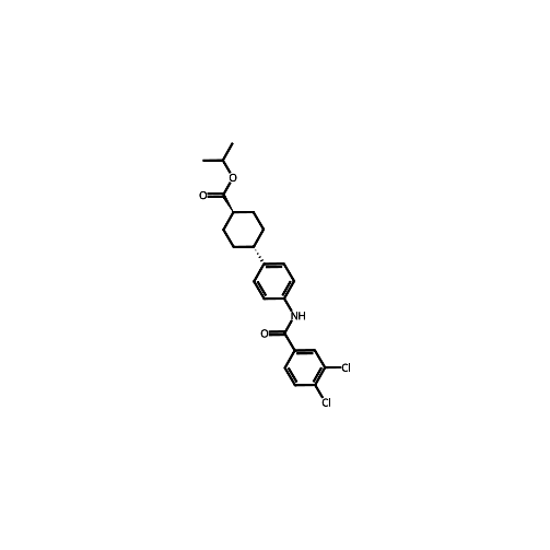 CC(C)OC(=O)[C@H]1CC[C@H](c2ccc(NC(=O)c3ccc(Cl)c(Cl)c3)cc2)CC1